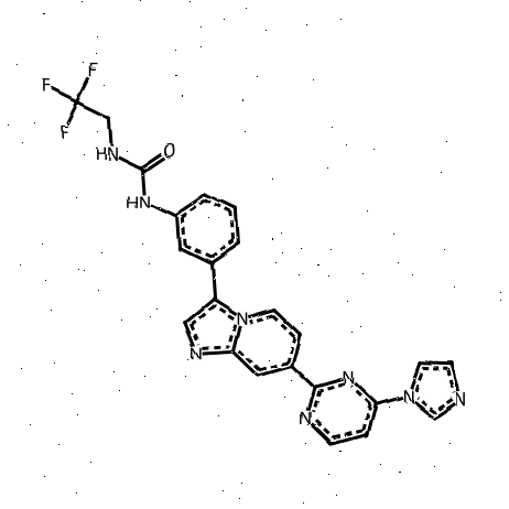 O=C(NCC(F)(F)F)Nc1cccc(-c2cnc3cc(-c4nccc(-n5ccnc5)n4)ccn23)c1